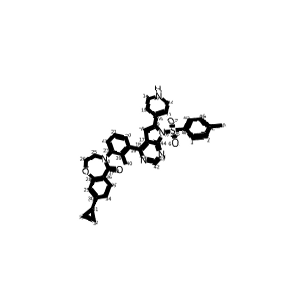 Cc1ccc(S(=O)(=O)n2c(C3=CCNCC3)cc3c(-c4cccc(N5CCOc6cc(C7CC7)ccc6C5=O)c4C)ncnc32)cc1